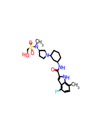 Cc1ccc(F)c2cc(C(=O)N[C@@H]3CCC[C@H](N4CC[C@H](N(C)S(=O)(=O)CO)C4)C3)[nH]c12